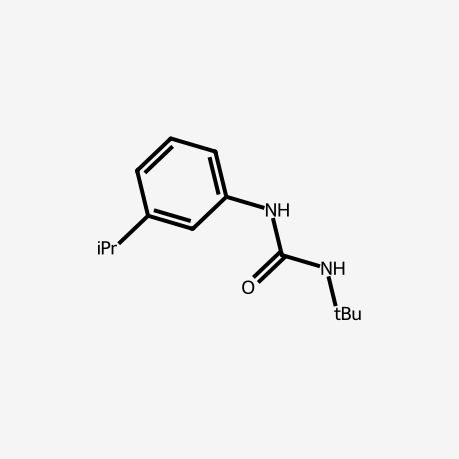 CC(C)c1cccc(NC(=O)NC(C)(C)C)c1